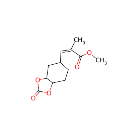 COC(=O)C(C)=CC1CCC2OC(=O)OC2C1